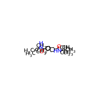 CC(C)(C)CC(C)(C)NC(=O)c1ccc2c(c1)CCC(C(=O)NC(C)(C)C(C)(C)C)C2